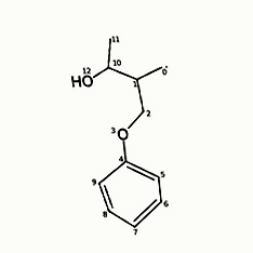 [CH2]C(COc1ccccc1)C(C)O